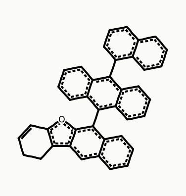 C1=Cc2oc3c(-c4c5ccccc5c(-c5cccc6ccccc56)c5ccccc45)c4ccccc4cc3c2CC1